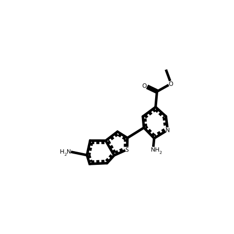 COC(=O)c1cnc(N)c(-c2cc3cc(N)ccc3s2)c1